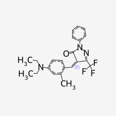 CCN(CC)c1ccc(/C=C2\C(=O)N(c3ccccc3)N=C2C(F)(F)F)c(C)c1